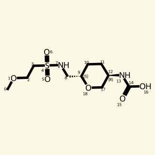 COCCS(=O)(=O)NC[C@@H]1CC[C@@H](NC(=O)O)CO1